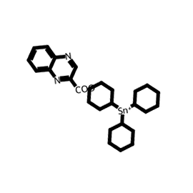 C1CC[CH]([Sn+]([CH]2CCCCC2)[CH]2CCCCC2)CC1.O=C([O-])c1cnc2ccccc2n1